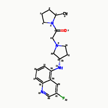 N#CC1CCCN1C(=O)CN1CC[C@H](Nc2cccc3ncc(F)cc23)C1